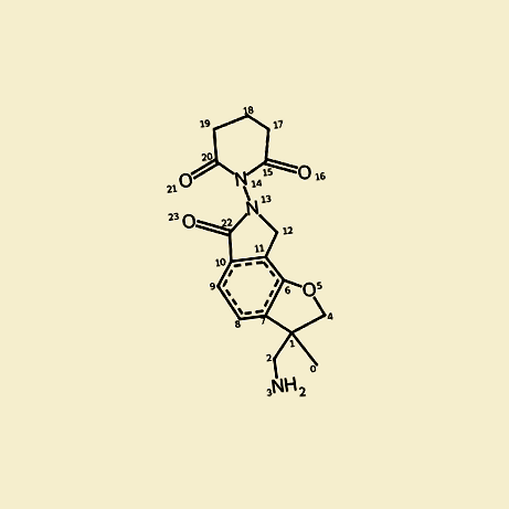 CC1(CN)COc2c1ccc1c2CN(N2C(=O)CCCC2=O)C1=O